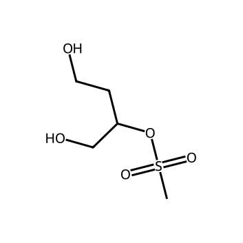 CS(=O)(=O)OC(CO)CCO